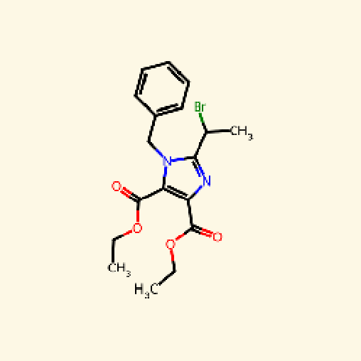 CCOC(=O)c1nc(C(C)Br)n(Cc2ccccc2)c1C(=O)OCC